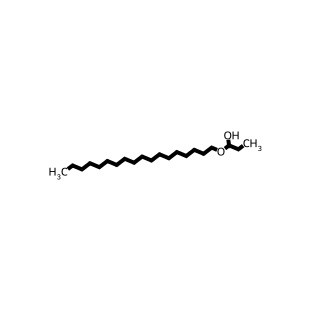 CCCCCCCCCCCCCCCCCCO[C](O)CC